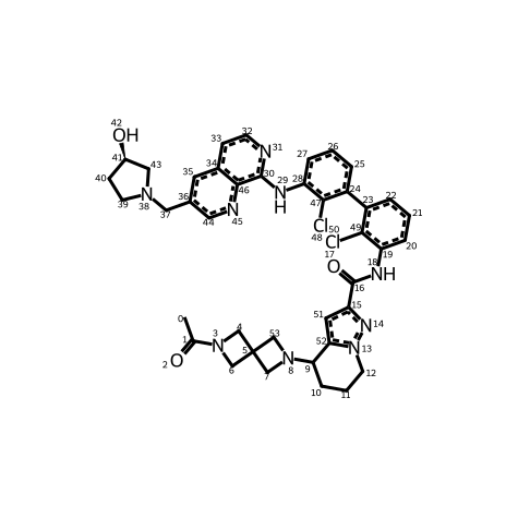 CC(=O)N1CC2(C1)CN(C1CCCn3nc(C(=O)Nc4cccc(-c5cccc(Nc6nccc7cc(CN8CC[C@@H](O)C8)cnc67)c5Cl)c4Cl)cc31)C2